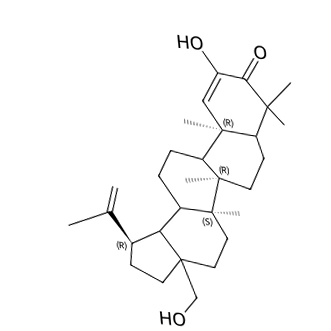 C=C(C)[C@@H]1CCC2(CO)CC[C@@]3(C)C(CCC4[C@@]5(C)C=C(O)C(=O)C(C)(C)C5CC[C@]43C)C12